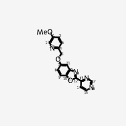 COc1ccc(COc2ccc3oc(-c4ccncn4)nc3c2)nc1